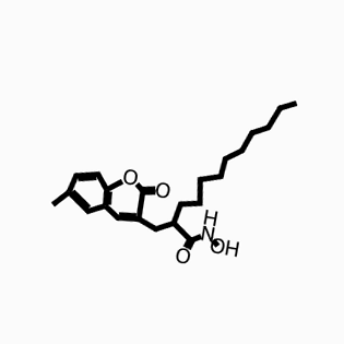 CCCCCCCCCCC(Cc1cc2cc(C)ccc2oc1=O)C(=O)NO